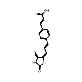 O=C(O)C=Cc1ccc(C=CC=C2OC(=O)NC2=O)cc1